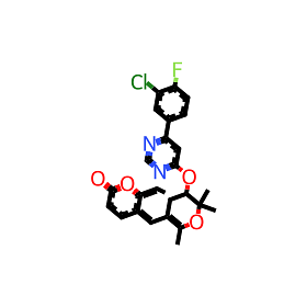 C/C=c1/oc(=O)cc/c1=C/C1=C(C)OC(C)(C)C(Oc2cc(-c3ccc(F)c(Cl)c3)ncn2)C1